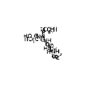 N[C@H](Cc1ccc2ccccc2c1)C(=O)NNC(=O)c1ccc(CNC(=O)CN(CCN(CC(=O)O)CC(=O)O)CCN(CC(=O)O)CC(=O)O)cc1